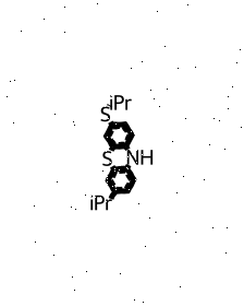 CC(C)Sc1ccc2c(c1)Sc1cc(C(C)C)ccc1N2